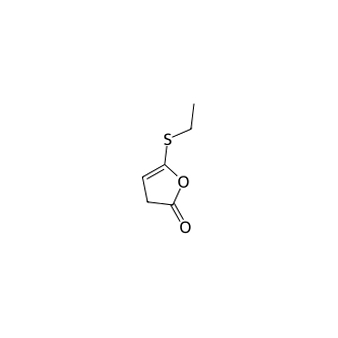 CCSC1=CCC(=O)O1